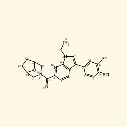 O=C(c1ccc2c(-c3ccc(Cl)c(F)c3)cn(CC(F)(F)F)c2n1)N1CC2CCC(C1)O2